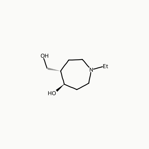 CCN1CC[C@@H](CO)[C@H](O)CC1